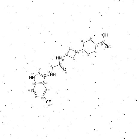 CC[C@H](O)C1CCC(N2CC(NC(=O)CNc3n[nH]c4ncc(C(F)(F)F)cc34)C2)CC1